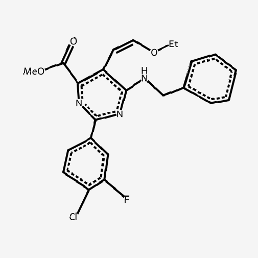 CCO/C=C\c1c(NCc2ccccc2)nc(-c2ccc(Cl)c(F)c2)nc1C(=O)OC